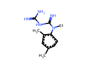 CCN(C(=N)NC(=N)N)c1ccc(C)cc1C